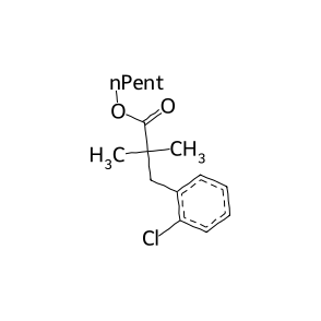 CCCCCOC(=O)C(C)(C)Cc1ccccc1Cl